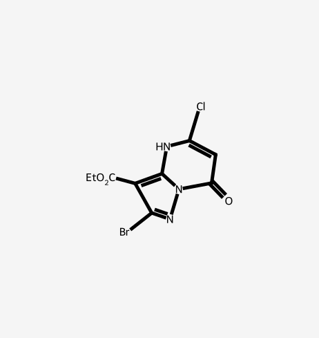 CCOC(=O)c1c(Br)nn2c(=O)cc(Cl)[nH]c12